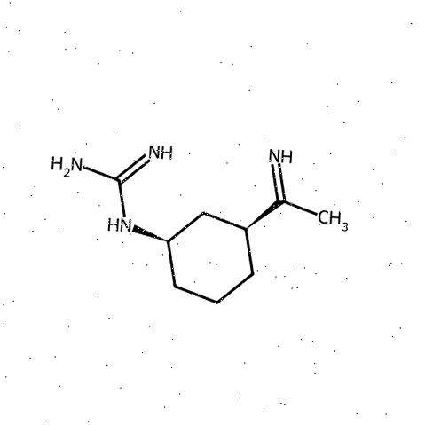 CC(=N)[C@H]1CCC[C@@H](NC(=N)N)C1